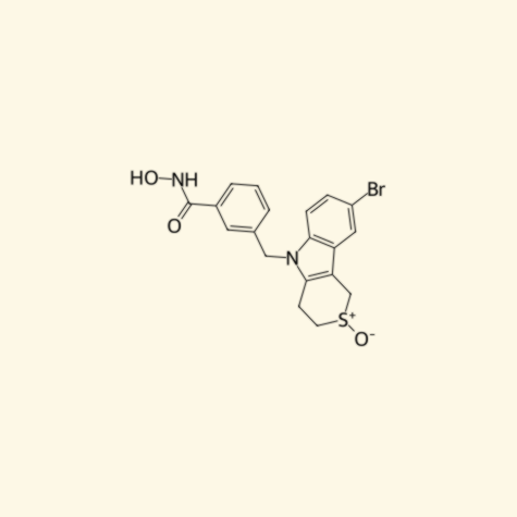 O=C(NO)c1cccc(Cn2c3c(c4cc(Br)ccc42)C[S+]([O-])CC3)c1